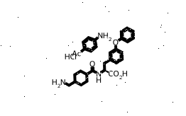 CC(=O)c1ccc(N)cc1.Cl.NCC1CCC(C(=O)N[C@@H](Cc2cccc(Oc3ccccc3)c2)C(=O)O)CC1